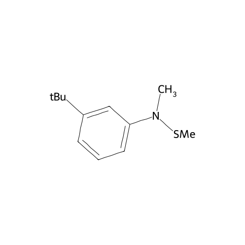 CSN(C)c1cccc(C(C)(C)C)c1